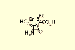 CC(=O)SC(C(=O)O)N1C(=O)C(N)C1CBr.Cl